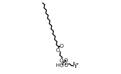 CCCCCCCCCCCCCCCCCC(=O)OCCCOP(=O)(O)OCC[N+](C)(C)C